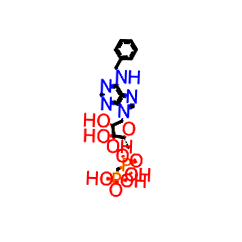 O=P(O)(O)CP(=O)(O)OC[C@H]1O[C@@H](n2cnc3c(NCc4ccccc4)ncnc32)[C@H](O)C1(O)O